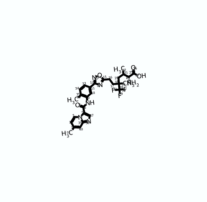 Cc1ccn2c(C(=O)Nc3cc(-c4noc(CCC(C)(CC(C)[C@@H](N)C(=O)O)C(F)(F)F)n4)ccc3C)cnc2c1